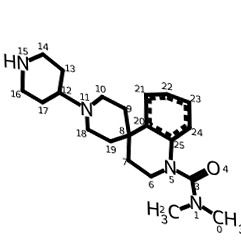 CN(C)C(=O)N1CCC2(CCN(C3CCNCC3)CC2)c2ccccc21